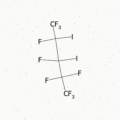 FC(F)(F)C(F)(F)C(F)(I)C(F)(I)C(F)(F)F